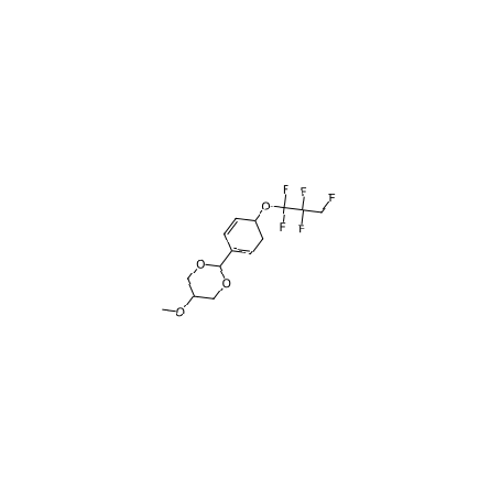 COC1COC(C2=CCC(OC(F)(F)C(F)(F)CF)C=C2)OC1